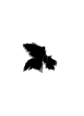 c1ccc(C2(c3cccc(N(c4ccc(-n5c6ccccc6c6ccccc65)cc4)c4ccc5c6ccccc6c6ccccc6c5c4)c3)c3ccccc3-c3ccccc32)cc1